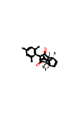 CC(C)=C1[C@H]2C=C[C@@H]1[C@H]1C(=O)C(c3c(C)cc(C)cc3C)C(=O)[C@H]12